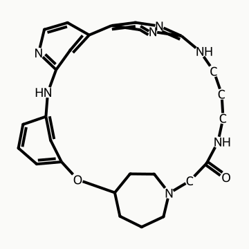 O=C1CN2CCCC(CC2)Oc2cccc(c2)Nc2cc(ccn2)-c2cnc(nc2)NCCCN1